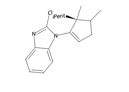 CCCC(C)[C@]1(C)C(n2c(Cl)nc3ccccc32)=CCC1C